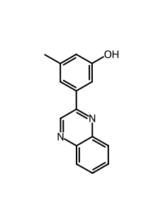 Cc1cc(O)cc(-c2cnc3ccccc3n2)c1